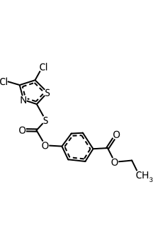 CCOC(=O)c1ccc(OC(=O)Sc2nc(Cl)c(Cl)s2)cc1